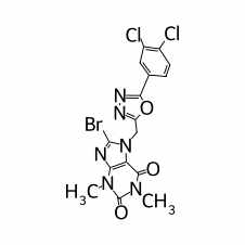 Cn1c(=O)c2c(nc(Br)n2Cc2nnc(-c3ccc(Cl)c(Cl)c3)o2)n(C)c1=O